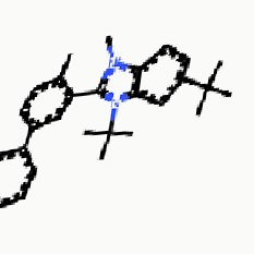 Cc1ccc(-c2ccccc2)cc1-c1n(C(C)(C)C)c2cc(C(C)(C)C)ccc2[n+]1C